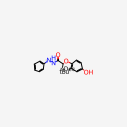 CCCCCCCCCCC(Oc1ccc(O)cc1C(C)(C)C)C(=O)N[N]c1ccccc1